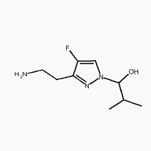 CC(C)C(O)n1cc(F)c(CCN)n1